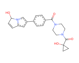 O=C(c1ccc(-c2cc3n(c2)C(O)C=C3)cc1)N1CCN(C(=O)C2(O)CC2)CC1